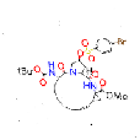 COC(=O)[C@@]12CC1/C=C\CCCCC[C@H](NC(=O)OC(C)(C)C)C(=O)N1C[C@@H](OS(=O)(=O)c3ccc(Br)cc3)C[C@H]1C(=O)N2